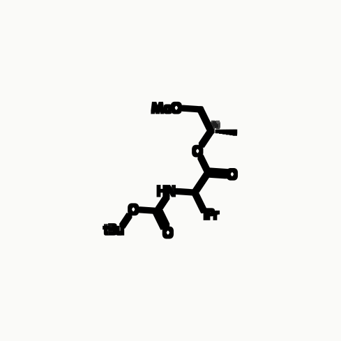 COC[C@H](C)OC(=O)C(NC(=O)OC(C)(C)C)C(C)C